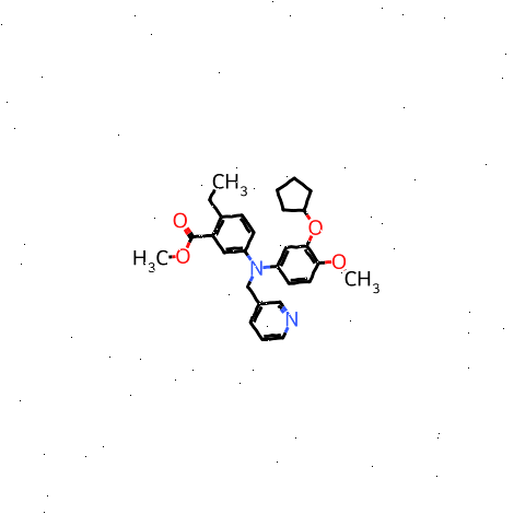 CCc1ccc(N(Cc2cccnc2)c2ccc(OC)c(OC3CCCC3)c2)cc1C(=O)OC